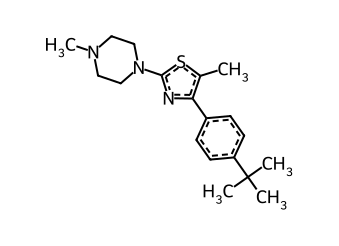 Cc1sc(N2CCN(C)CC2)nc1-c1ccc(C(C)(C)C)cc1